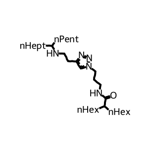 CCCCCCCC(CCCCC)NCCc1cn(CCCNC(=O)C(CCCCCC)CCCCCC)nn1